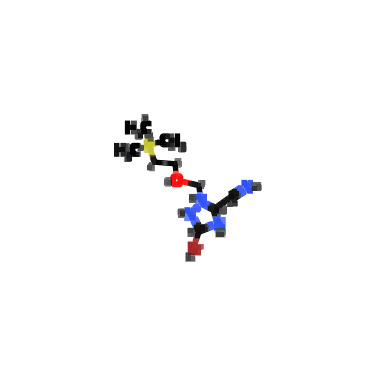 CS(C)(C)CCOCn1nc(Br)nc1C#N